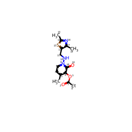 CCC(=O)Oc1c(C)ccn(NCc2sc(C)nc2C)c1=O